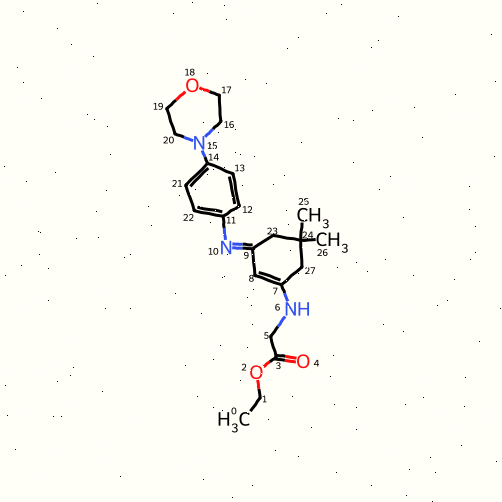 CCOC(=O)CNC1=C/C(=N/c2ccc(N3CCOCC3)cc2)CC(C)(C)C1